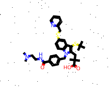 CN(C)CCNC(=O)c1ccc(Cn2c(CC(C)(C)C(=O)O)c(SC(C)(C)C)c3cc(SCc4ccccn4)ccc32)cc1